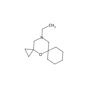 CCN1CC2(CCCCC2)OC2(CC2)C1